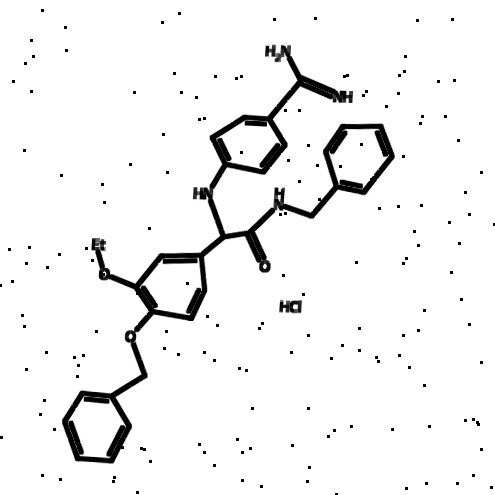 CCOc1cc(C(Nc2ccc(C(=N)N)cc2)C(=O)NCc2ccccc2)ccc1OCc1ccccc1.Cl